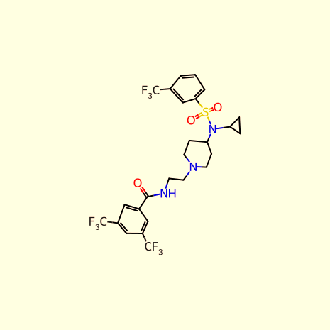 O=C(NCCN1CCC(N(C2CC2)S(=O)(=O)c2cccc(C(F)(F)F)c2)CC1)c1cc(C(F)(F)F)cc(C(F)(F)F)c1